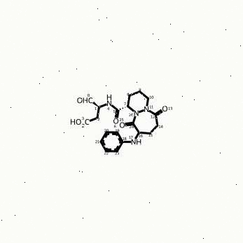 O=C[C@H](CC(=O)O)NC(=O)[C@@H]1CCCN2C(=O)CCC(Nc3ccccc3)C(=O)N12